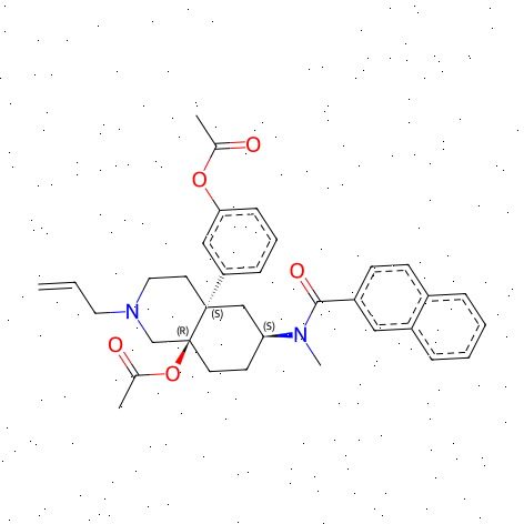 C=CCN1CC[C@@]2(c3cccc(OC(C)=O)c3)C[C@@H](N(C)C(=O)c3ccc4ccccc4c3)CC[C@]2(OC(C)=O)C1